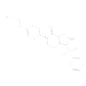 O=C1C2CNC(S(=O)(=O)c3ccccc3)C2CCN1c1ccc(OCC(F)(F)F)cc1